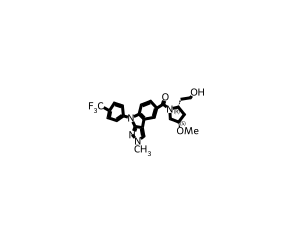 CO[C@H]1C[C@@H](CCO)N(C(=O)c2ccc3c(c2)c2cn(C)nc2n3-c2ccc(C(F)(F)F)cc2)C1